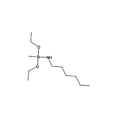 CCCCCCN[Si](C)(OCC)OCC